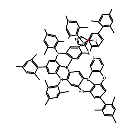 Cc1cc(C)c(-c2cc3c4c(c2)Oc2ccncc2B4c2cc4c(cc2N3)N(c2c(C)cc(C)cc2C)c2cc(-c3c(C)cc(C)cc3C)cc3c2B4c2cc4c(cc2N3c2c(C)cc(C)cc2C)N(c2c(C)cc(C)cc2C)c2cc(-c3c(C)cc(C)cc3C)cc3c2B4c2cnccc2O3)c(C)c1